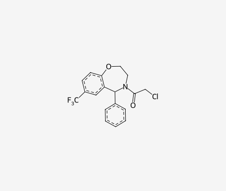 O=C(CCl)N1CCOc2ccc(C(F)(F)F)cc2C1c1ccccc1